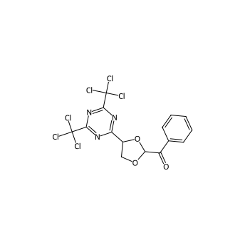 O=C(c1ccccc1)C1OCC(c2nc(C(Cl)(Cl)Cl)nc(C(Cl)(Cl)Cl)n2)O1